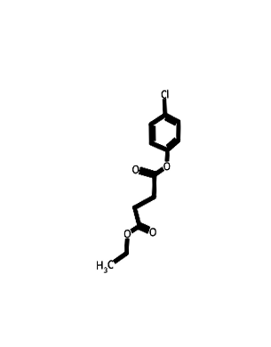 CCOC(=O)CCC(=O)Oc1ccc(Cl)cc1